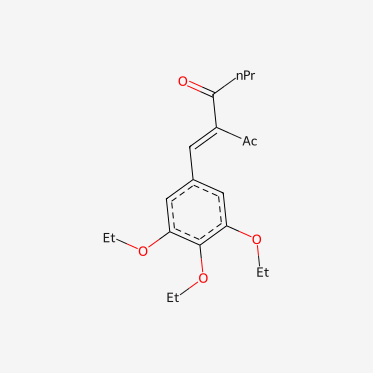 CCCC(=O)/C(=C/c1cc(OCC)c(OCC)c(OCC)c1)C(C)=O